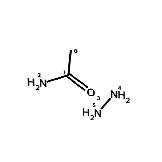 CC(N)=O.NN